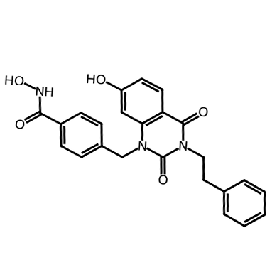 O=C(NO)c1ccc(Cn2c(=O)n(CCc3ccccc3)c(=O)c3ccc(O)cc32)cc1